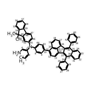 C/C=C\C(=C/N)N(c1ccc(-c2ccc3c4c(cccc24)-c2c-3c(-c3ccccc3)c3ccccc3c2-c2ccccc2)cc1)c1ccc2c(c1)C(C)(C)c1ccccc1-2